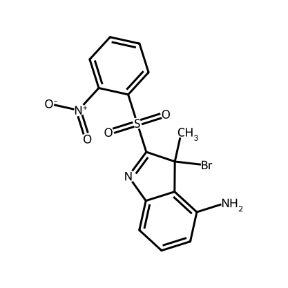 CC1(Br)C(S(=O)(=O)c2ccccc2[N+](=O)[O-])=Nc2cccc(N)c21